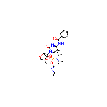 CC/N=C/OP(OC1C2OCC1(C)OC2n1cc(C)c(NC(=O)c2ccccc2)nc1=O)N(C(C)C)C(C)C